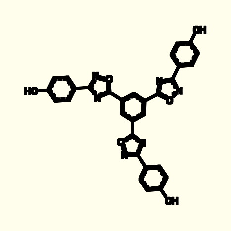 Oc1ccc(-c2noc(-c3cc(-c4nc(-c5ccc(O)cc5)no4)cc(-c4nc(-c5ccc(O)cc5)no4)c3)n2)cc1